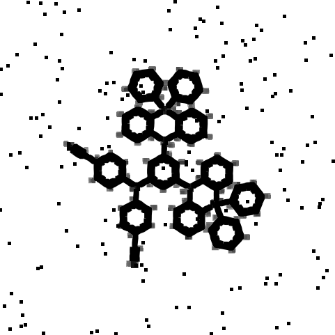 N#Cc1ccc(N(c2ccc(C#N)cc2)c2cc(N3c4ccccc4[Si](c4ccccc4)(c4ccccc4)c4ccccc43)cc(N3c4ccccc4[Si](c4ccccc4)(c4ccccc4)c4ccccc43)c2)cc1